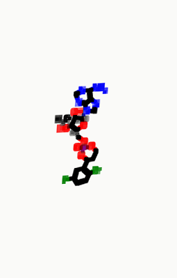 C[C@@]1(O)[C@H](O)[C@@H](COP2(=O)OCCC(c3cc(F)ccc3Br)O2)O[C@H]1n1cnc2c(N)ncnc21